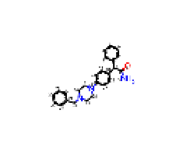 NC(=O)C(c1ccccc1)c1ccc(N2CCN(Cc3ccccc3)CC2)cc1